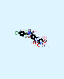 BC1CC(B)(N2Cc3cc(C(B)N(B)C(=O)C(F)(F)c4ccc(Cl)cc4)ccc3C2=O)C(=O)N(B)C1=O